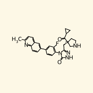 Cc1ccc2cc(-c3ccc(-n4c(C[C@@]5(C(=O)C6CC6)CCNC5)n[nH]c4=O)c(F)c3)ccc2n1